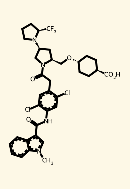 Cn1cc(C(=O)Nc2cc(Cl)c(CC(=O)N3C[C@@H](N4CCC[C@H]4C(F)(F)F)C[C@H]3CO[C@H]3CC[C@H](C(=O)O)CC3)cc2Cl)c2ccccc21